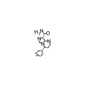 NC(=O)c1ncn2c(-c3ccsc3)ccnc12